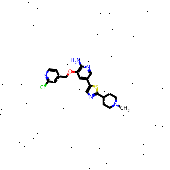 CN1CCC(c2ncc(-c3cnc(N)c(OCc4ccnc(Cl)c4)c3)s2)CC1